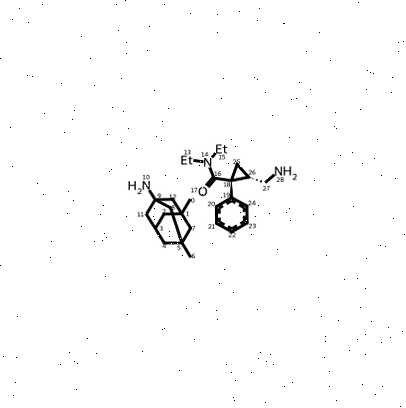 CC12CC3CC(C)(C1)CC(N)(C3)C2.CCN(CC)C(=O)[C@]1(c2ccccc2)C[C@@H]1CN